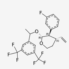 C=C[C@@H]1CCO[C@H](OC(C)c2cc(C(F)(F)F)cc(C(F)(F)F)c2)[C@H]1c1cccc(F)c1